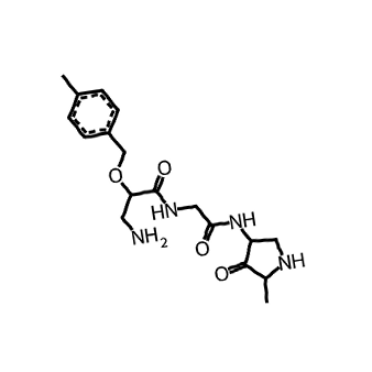 Cc1ccc(COC(CN)C(=O)NCC(=O)NC2CNC(C)C2=O)cc1